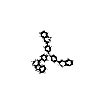 c1ccc2nnc(-c3ccc(N(c4ccc(-c5cc6ccccc6nn5)cc4)c4ccc(-c5ncnc6sc7ccccc7c56)cc4)cc3)cc2c1